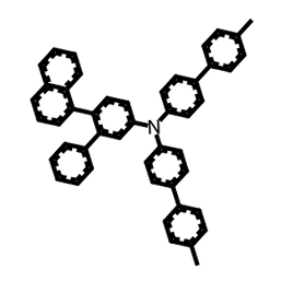 Cc1ccc(-c2ccc(N(c3ccc(-c4ccc(C)cc4)cc3)c3ccc(-c4cccc5ccccc45)c(-c4ccccc4)c3)cc2)cc1